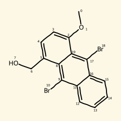 COc1ccc(CO)c2c(Br)c3ccccc3c(Br)c12